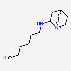 CCCCCCNC1CC2CC[N+]1CC2